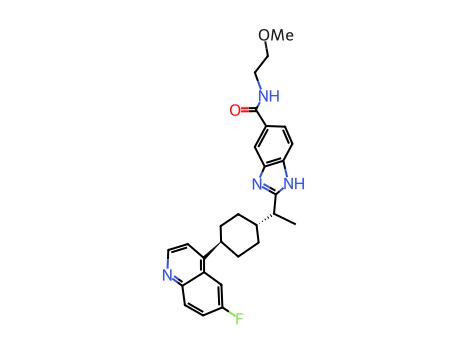 COCCNC(=O)c1ccc2[nH]c(C(C)[C@H]3CC[C@H](c4ccnc5ccc(F)cc54)CC3)nc2c1